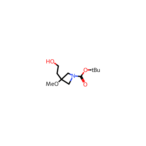 COC1(CCO)CN(C(=O)OC(C)(C)C)C1